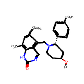 CCO[C@H]1CCN(Cc2c(OC)cc(C)c3[nH]c(=O)ncc23)[C@H](c2ccc(C(=O)O)cc2)C1